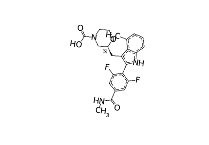 CNC(=O)c1cc(F)c(-c2[nH]c3cccc(C)c3c2C[C@H]2CN(C(=O)O)CCO2)c(F)c1